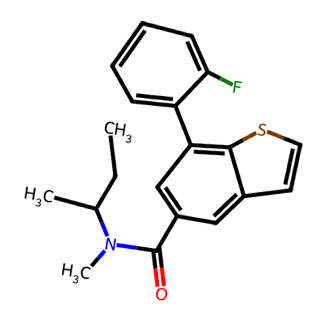 CCC(C)N(C)C(=O)c1cc(-c2ccccc2F)c2sccc2c1